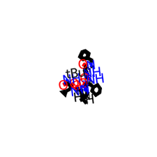 CN(Cc1ccccc1)C(=O)[C@@H](NC(=O)N[C@H](C(=O)N1C[C@H]2[C@@H]([C@H]1C(=O)NC(C(=O)C(N)=O)C1CC1)C2(C)C)C1CCCCC1)C(C)(C)C